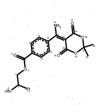 CCCCC(CC)COC(=O)c1ccc(C(N)=C2C(=O)OC(C)(C)OC2=O)cc1